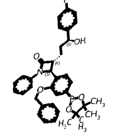 CC1(C)OB(c2ccc([C@@H]3[C@@H](CC[C@H](O)c4ccc(F)cc4)C(=O)N3c3ccccc3)c(OCc3ccccc3)c2)OC1(C)C